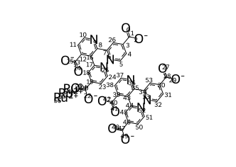 O=C([O-])c1ccnc(-c2nccc(C(=O)[O-])c2-c2cc(C(=O)[O-])ccn2)c1.O=C([O-])c1ccnc(-c2nccc(C(=O)[O-])c2-c2cc(C(=O)[O-])ccn2)c1.[Ru+2].[Ru+2].[Ru+2]